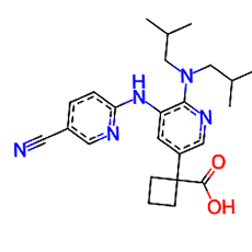 CC(C)CN(CC(C)C)c1ncc(C2(C(=O)O)CCC2)cc1Nc1ccc(C#N)cn1